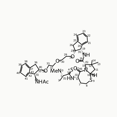 CN[C@@H](C)C(=S)N[C@H]1CCS[C@H]2CC(C)(C)[C@@H](C(=O)N[C@H]3c4ccccc4C[C@H]3OCCOCCO[C@@H]3Cc4ccccc4[C@@H]3NC(C)=O)N2C1=O